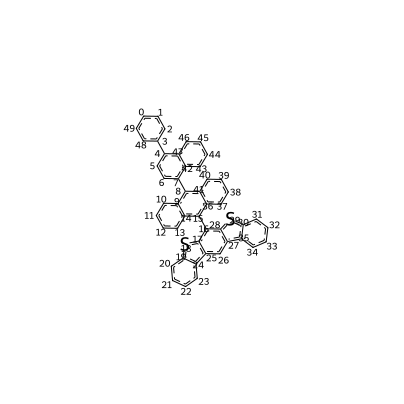 c1ccc(-c2ccc(-c3c4ccccc4c(-c4c5sc6ccccc6c5cc5c4sc4ccccc45)c4ccccc34)c3ccccc23)cc1